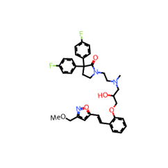 COCc1cc(C=Cc2ccccc2OCC(O)CN(C)CCN2CCC(c3ccc(F)cc3)(c3ccc(F)cc3)C2=O)on1